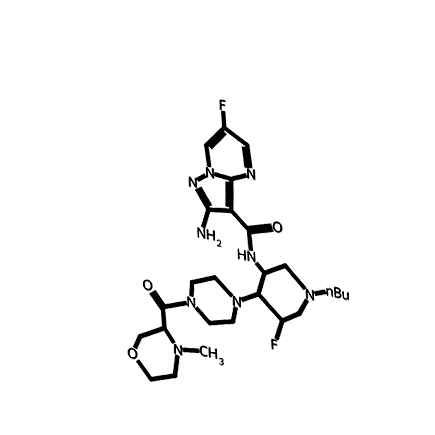 CCCCN1CC(F)C(N2CCN(C(=O)C3COCCN3C)CC2)C(NC(=O)c2c(N)nn3cc(F)cnc23)C1